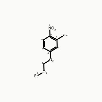 CCOCOc1ccc([N+](=O)[O-])c(F)c1